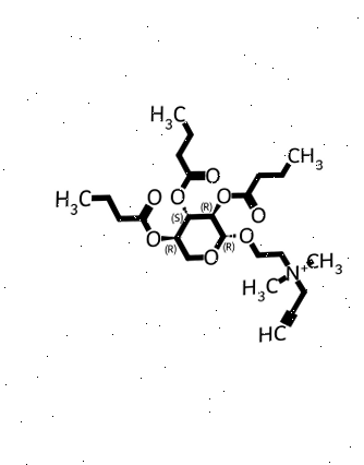 C#CC[N+](C)(C)CCO[C@@H]1OC[C@@H](OC(=O)CCC)[C@H](OC(=O)CCC)[C@H]1OC(=O)CCC